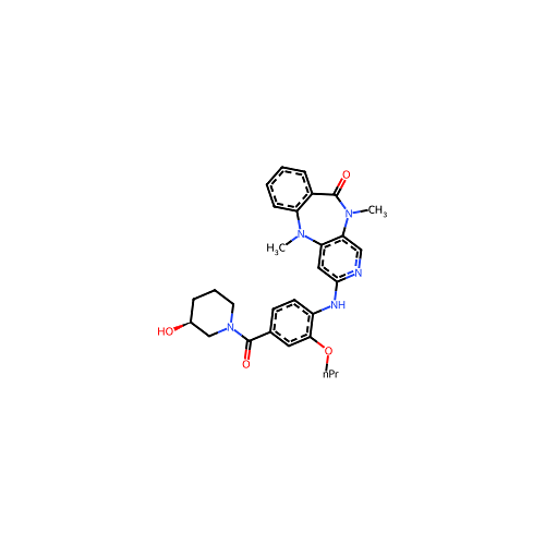 CCCOc1cc(C(=O)N2CCC[C@H](O)C2)ccc1Nc1cc2c(cn1)N(C)C(=O)c1ccccc1N2C